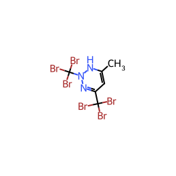 CC1=CC(C(Br)(Br)Br)=NN(C(Br)(Br)Br)N1